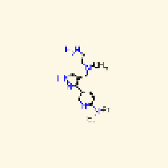 CCN(CC)C1=NCC(c2n[nH]cc2CN(C)CCN)C=C1